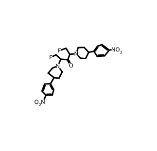 O=C(C(CF)N1CCC(c2ccc([N+](=O)[O-])cc2)CC1)C(CF)N1CCC(c2ccc([N+](=O)[O-])cc2)CC1